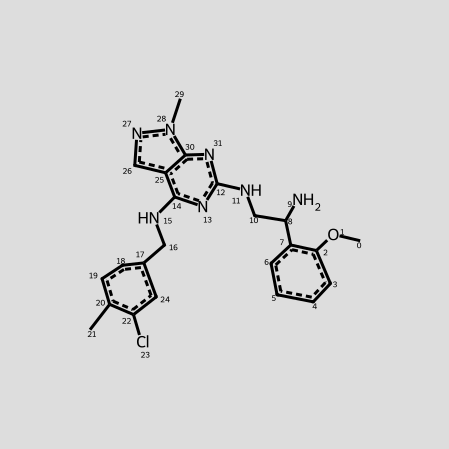 COc1ccccc1C(N)CNc1nc(NCc2ccc(C)c(Cl)c2)c2cnn(C)c2n1